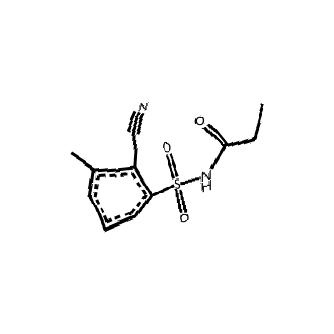 CCC(=O)NS(=O)(=O)c1cccc(C)c1C#N